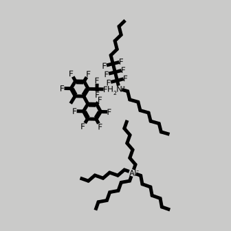 CCCCCCCCC[NH2+]C(F)(F)C(F)(F)C(F)(F)CCCCCC.CCCCCC[CH2][Al-]([CH2]CCCCCC)([CH2]CCCCCC)[CH2]CCCCCC.Cc1c(F)c(F)c(F)c(C(F)(F)F)c1-c1c(F)c(F)c(F)c(F)c1F